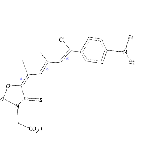 CCN(CC)c1ccc(/C(Cl)=C/C(C)=C/C(C)=C2/OC(=O)N(CC(=O)O)C2=S)cc1